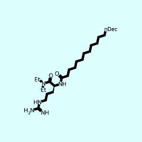 CCCCCCCCCCCCCCCCCCCCCC(=O)N[C@@H](CCCNC(=N)N)C(=O)N(CC)CC